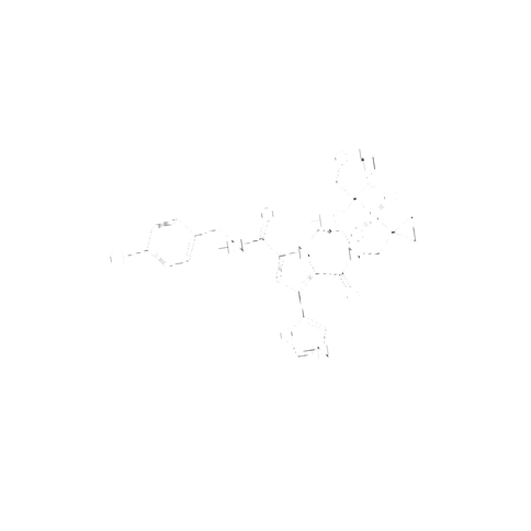 CC(C)(CO)S(=O)(=O)C1(CN2CCn3c(C(=O)NCc4ccc(Cl)cc4)cc(-c4cnco4)c3C2=O)CC1